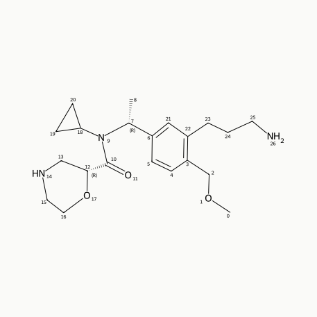 COCc1ccc([C@@H](C)N(C(=O)[C@H]2CNCCO2)C2CC2)cc1CCCN